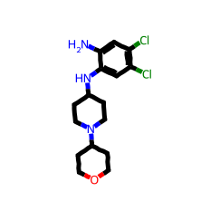 Nc1cc(Cl)c(Cl)cc1NC1CCN(C2CCOCC2)CC1